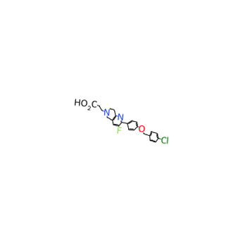 O=C(O)CCN1CCc2nc(-c3ccc(OCc4ccc(Cl)cc4)cc3)c(F)cc2C1